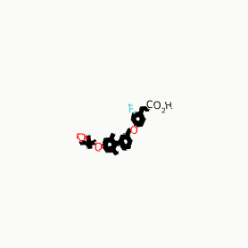 Cc1cc(OCC2(C)COC2)cc(C)c1-c1cccc(COc2ccc(CCC(=O)O)c(F)c2)c1